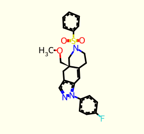 COC[C@]12Cc3cnn(-c4ccc(F)cc4)c3C=C1CCN(S(=O)(=O)c1ccccc1)C2